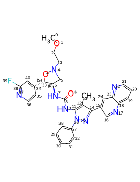 COCCN1C[C@@H](NC(=O)Nc2c(C)c(-c3cnc4cccnc4c3)nn2-c2ccccc2)[C@H](c2ccnc(F)c2)O1